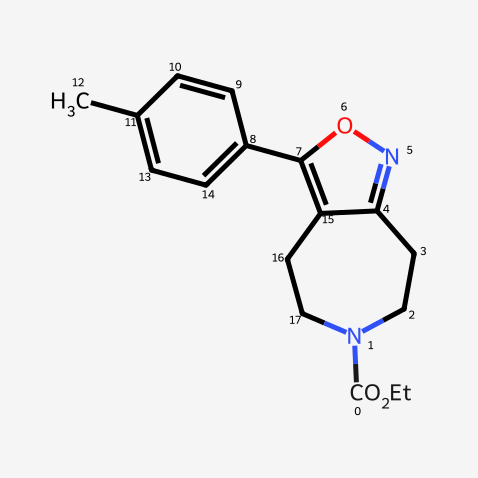 CCOC(=O)N1CCc2noc(-c3ccc(C)cc3)c2CC1